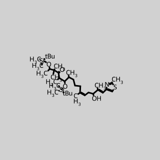 C/C(=C/CC(O)/C(C)=C/c1csc(C)n1)CCCC(C)C(O[Si](C)(C)C(C)(C)C)C(C)C(=O)C(C)(C)C(C)O[Si](C)(C)C(C)(C)C